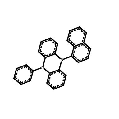 c1ccc(N2c3ccccc3B(c3cccc4ccccc34)c3ccccc32)cc1